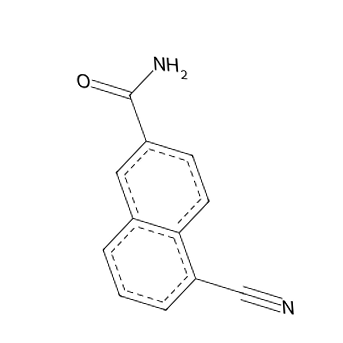 N#Cc1cccc2cc(C(N)=O)ccc12